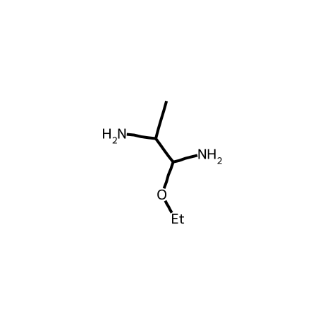 CCOC(N)C(C)N